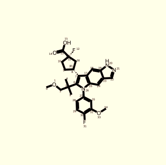 COCC(C)(C)c1c([C@@H]2CC[C@@](F)(C(=O)O)C2)c2cc3[nH]ncc3cc2n1-c1ccc(F)c(OC)c1